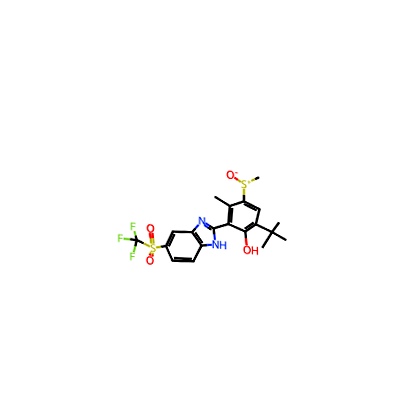 Cc1c([S+](C)[O-])cc(C(C)(C)C)c(O)c1-c1nc2cc(S(=O)(=O)C(F)(F)F)ccc2[nH]1